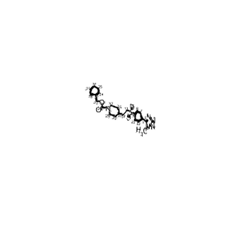 Cn1nnnc1-c1ccc(S(=O)(=O)CCC2CCN(C(=O)OCc3ccccc3)CC2)cc1